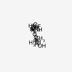 Cn1ncnc1[C@H]1c2n[nH]c(=O)c3cc(F)cc(c23)NC1c1ccc(OCCO[C@H]2CC[C@H]3[C@@H]4CC[C@H]5CC(O)CC[C@]5(C)[C@H]4CC[C@]23C)cc1